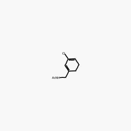 CC(=O)NCC1=CC(Cl)=CCC1